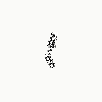 O=c1[nH]c(CCCOc2cccc(CN3CCCCC3)c2)ncc1Cc1ccnc(O)c1